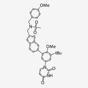 COc1ccc(CN(Cc2cc3ccc(-c4cc(-n5ccc(=O)[nH]c5=O)cc(C(C)(C)C)c4OC)cc3s2)S(C)(=O)=O)cc1